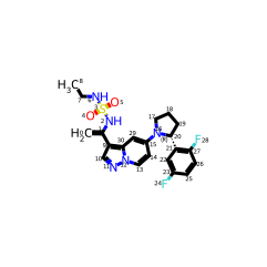 C=C(NS(=O)(=O)NCC)c1cnn2ccc(N3CCC[C@@H]3c3cc(F)ccc3F)cc12